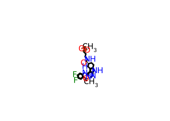 COc1cc(F)c(F)cc1Nc1ncnc2[nH]c3c(c12)C[C@@H](C(=O)NCCCS(C)(=O)=O)CC3